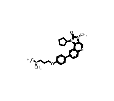 CN(C)CCCOc1ccc(-c2ccc3ncc4c(c3c2)n(C2CCCC2)c(=O)n4C)cc1